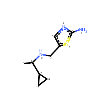 CC(NCc1cnc(N)s1)C1CC1